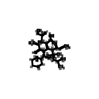 C=CC(=O)NC(C(=O)O)=C(N(C(=O)C=C)C(CC)C1COCCN1)N(C(=O)C=C)C(C)(C)CC(C)O